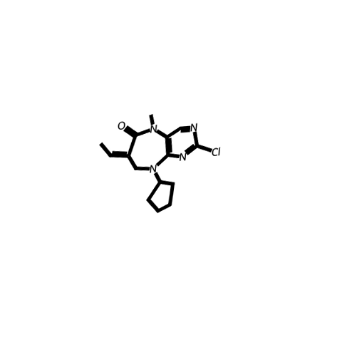 CC=C1CN(C2CCCC2)c2nc(Cl)ncc2N(C)C1=O